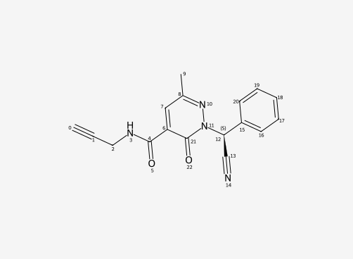 C#CCNC(=O)c1cc(C)nn([C@H](C#N)c2ccccc2)c1=O